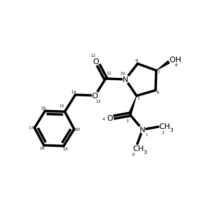 CN(C)C(=O)[C@@H]1C[C@H](O)CN1C(=O)OCc1ccccc1